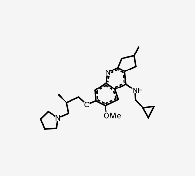 COc1cc2c(NCC3CC3)c3c(nc2cc1OC[C@H](C)CN1CCCC1)CC(C)C3